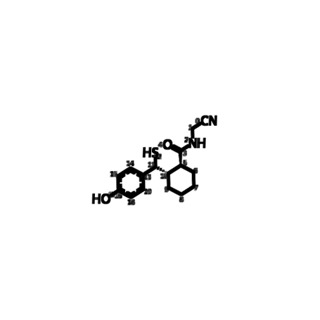 N#CCNC(=O)[C@H]1CCCC[C@@H]1C(S)c1ccc(O)cc1